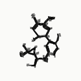 C/C=C(/Nc1ccc(F)c(-c2cc(NC)c(F)cc2F)c1)C1CC1(C)Cl